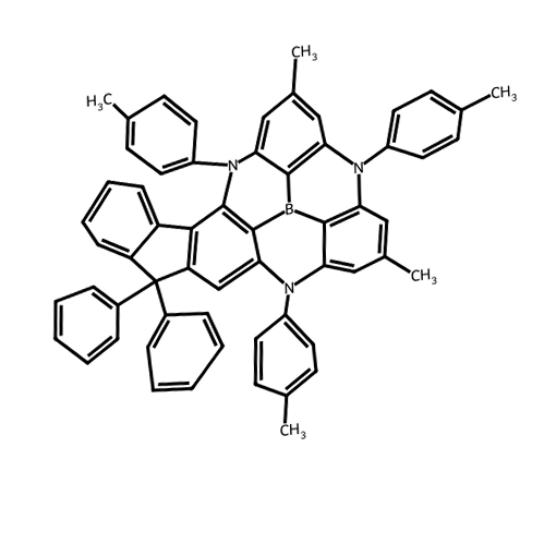 Cc1ccc(N2c3cc(C)cc4c3B3c5c2cc(C)cc5N(c2ccc(C)cc2)c2c3c(cc3c2-c2ccccc2C3(c2ccccc2)c2ccccc2)N4c2ccc(C)cc2)cc1